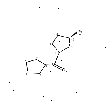 CC(C)[C@@H]1CCN(C(=O)C2CCCC2)C1